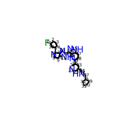 Fc1cccc(-c2nccc3[nH]c(-c4n[nH]c5ccc(-c6cncc(CNCC7CCCC7)c6)nc45)nc23)c1